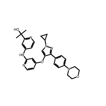 CC(C)(O)c1cc(Nc2cc(Oc3cn(C4CC4)nc3-c3ccc(N4CCOCC4)cc3)ccn2)ccn1